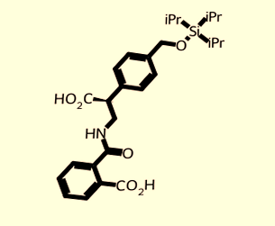 CC(C)[Si](OCc1ccc([C@@H](CNC(=O)c2ccccc2C(=O)O)C(=O)O)cc1)(C(C)C)C(C)C